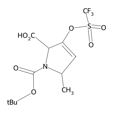 CC1C=C(OS(=O)(=O)C(F)(F)F)C(C(=O)O)N1C(=O)OC(C)(C)C